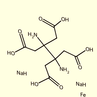 NC(CC(=O)O)(CC(=O)O)C(N)(CC(=O)O)CC(=O)O.[Fe].[NaH].[NaH]